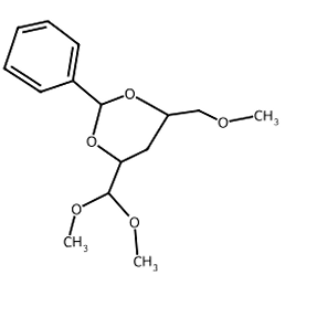 COCC1CC(C(OC)OC)OC(c2ccccc2)O1